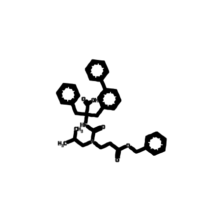 CC(C)CN(CCC(=O)OCc1ccccc1)C(=O)NC(Cc1ccccc1)(Cc1cccc(-c2ccccc2)c1)C(=O)O